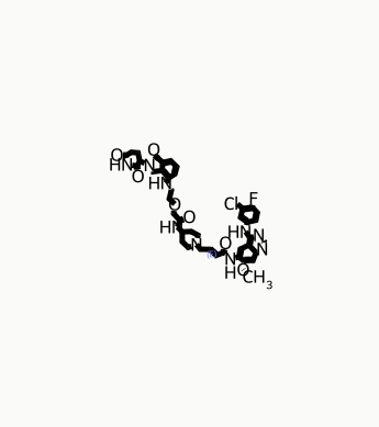 COc1cc2ncnc(Nc3ccc(F)c(Cl)c3)c2cc1NC(=O)/C=C/CN1CCC(NC(=O)COCCNc2cccc3c2CN(C2CCC(=O)NC2=O)C3=O)CC1